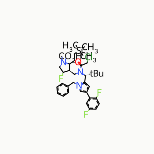 CC(C)(C)[C@H](c1cc(-c2cc(F)ccc2F)cn1Cc1ccccc1)N(C[C@@H]1C(CC[Si](C)(C)C)N(C(=O)O)C[C@@H]1F)C(=O)CCl